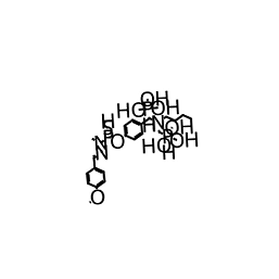 CCCCN(C[PH](O)(O)O)C(c1ccc(O[PH](=S)N(C)/N=C/c2ccc(OC)cc2)cc1)[PH](O)(O)O